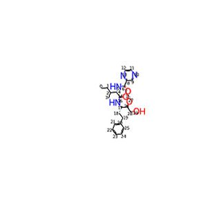 CCC(C)[C@H](NC(=O)c1cnccn1)C(=O)N[C@@H](CCc1ccccc1)C(=O)CO